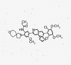 C=CC(=O)Nc1cc(-c2cc3c(cn2)cc(-c2c(Cl)c(OC)cc(OC)c2Cl)c2nccn23)c(OC)cc1N1CCC2(CCOCC2)C1